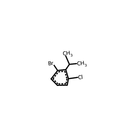 CC(C)c1c(Cl)cccc1Br